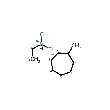 CC1CCCCCC1.CC[SiH](Cl)Cl